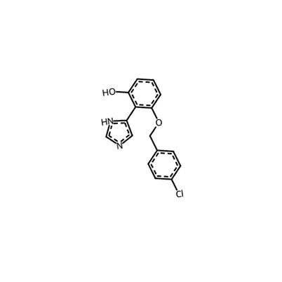 Oc1cccc(OCc2ccc(Cl)cc2)c1-c1cnc[nH]1